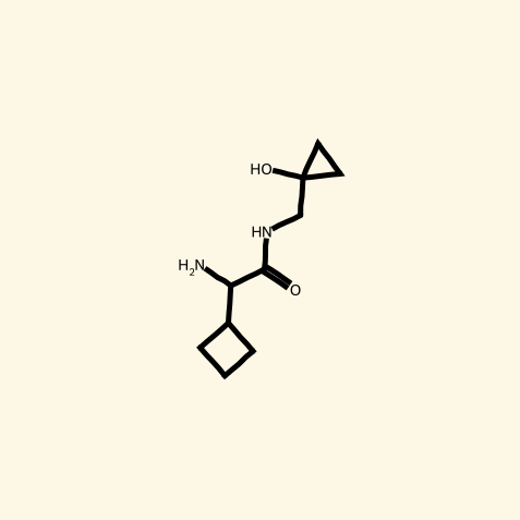 NC(C(=O)NCC1(O)CC1)C1CCC1